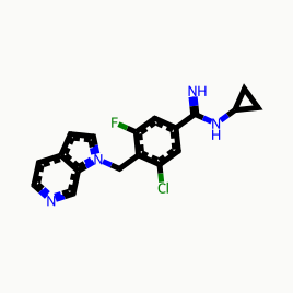 N=C(NC1CC1)c1cc(F)c(Cn2ccc3ccncc32)c(Cl)c1